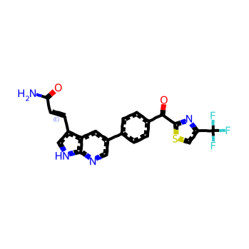 NC(=O)/C=C/c1c[nH]c2ncc(-c3ccc(C(=O)c4nc(C(F)(F)F)cs4)cc3)cc12